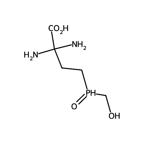 NC(N)(CC[PH](=O)CO)C(=O)O